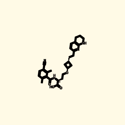 Cc1ccc(C#N)c(C)c1C(=O)N[C@@H](CCO[C@H]1C[C@@H](CCc2ccc3c(n2)NCCC3)C1)C(=O)O